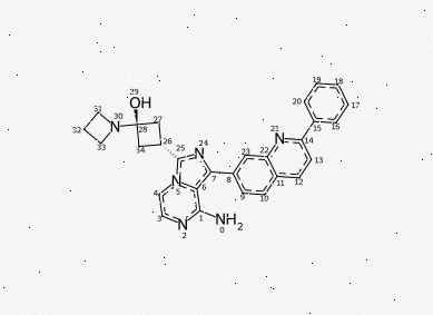 Nc1nccn2c1c(-c1ccc3ccc(-c4ccccc4)nc3c1)nc2[C@H]1C[C@@](O)(N2CCC2)C1